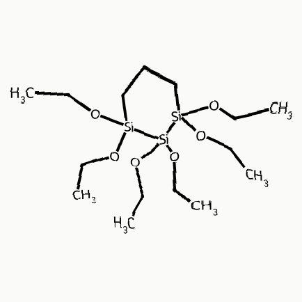 CCO[Si]1(OCC)CCC[Si](OCC)(OCC)[Si]1(OCC)OCC